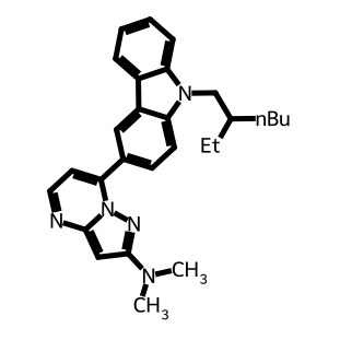 CCCCC(CC)Cn1c2ccccc2c2cc(-c3ccnc4cc(N(C)C)nn34)ccc21